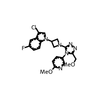 COCc1nnc(N2CC(n3cc(Cl)c4cc(F)ccc43)C2)n1-c1ccc(OC)nc1